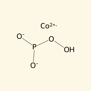 [Co+2].[O-]P([O-])OO